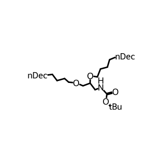 CCCCCCCCCCCCCCOCC(CNC(=O)OC(C)(C)C)OCCCCCCCCCCCCCC